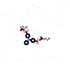 C=C(COC(=O)c1ccc(N(c2ccccc2)c2ccc(C(=O)OCC(=C)C(=O)O)cc2)cc1)C(=O)O